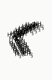 C[Si](C)(C)N.C[Si](C)(C)N.C[Si](C)(C)N.C[Si](C)(C)N.C[Si](C)(C)N.C[Si](C)(C)N.C[Si](C)(C)N.C[Si](C)(C)N.N#CB(O)O.N#CB(O)O.N#CB(O)O.N#CB(O)O